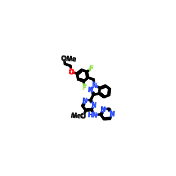 COCCOc1cc(F)c(Cn2nc(-c3ncc(OC)c(Nc4ccncn4)n3)c3ccccc32)c(F)c1